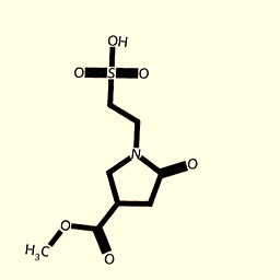 COC(=O)C1CC(=O)N(CCS(=O)(=O)O)C1